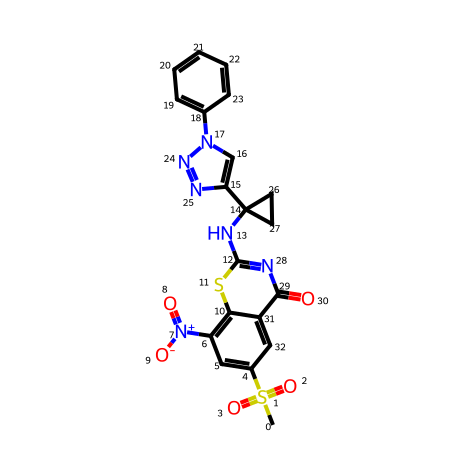 CS(=O)(=O)c1cc([N+](=O)[O-])c2sc(NC3(c4cn(-c5ccccc5)nn4)CC3)nc(=O)c2c1